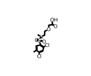 Cc1cc(S(=O)(=O)N(C)CCOCC(=O)O)c(Cl)cc1Cl